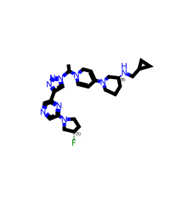 CC(N1C=CC(N2CCC[C@@H](NCC3CC3)C2)=CC1)n1cc(-c2cncc(N3CC[C@H](F)C3)n2)nn1